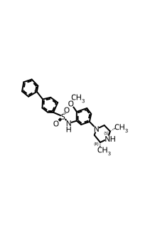 COc1ccc(N2C[C@@H](C)N[C@@H](C)C2)cc1NS(=O)(=O)c1ccc(-c2ccccc2)cc1